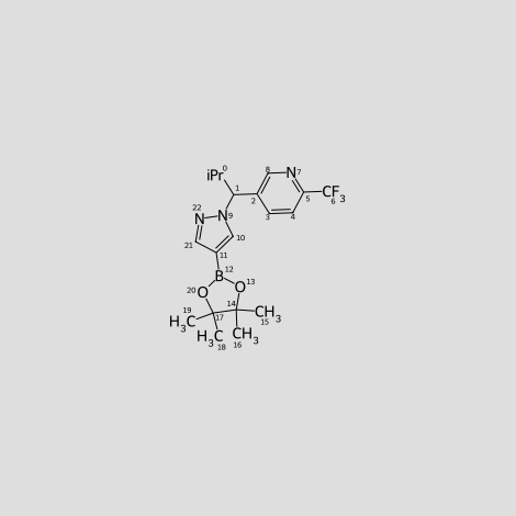 CC(C)C(c1ccc(C(F)(F)F)nc1)n1cc(B2OC(C)(C)C(C)(C)O2)cn1